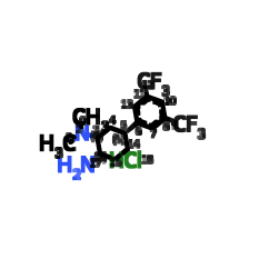 CN(C)[C@H]1C[C@@H](c2cc(C(F)(F)F)cc(C(F)(F)F)c2)CC[C@@H]1N.Cl